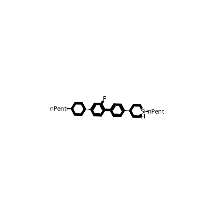 CCCCC[C@H]1CC[C@H](c2ccc(-c3ccc([C@H]4CC[Si@H](CCCCC)CC4)cc3)c(F)c2)CC1